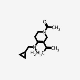 C=C(C)C1=C(N(N)CC2CC2)CCN(C(C)=O)C1